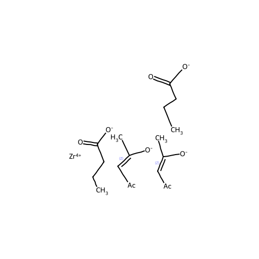 CC(=O)/C=C(/C)[O-].CC(=O)/C=C(/C)[O-].CCCC(=O)[O-].CCCC(=O)[O-].[Zr+4]